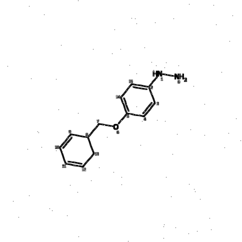 NNc1ccc(OCC2C=CC=CC2)cc1